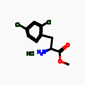 COC(=O)[C@@H](N)Cc1ccc(Cl)cc1Cl.Cl